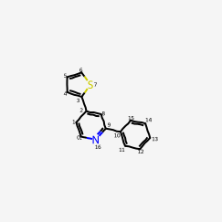 [c]1cc(-c2cccs2)cc(-c2ccccc2)n1